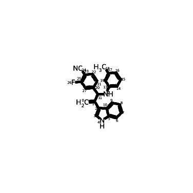 C=C(c1c[nH]c2ccccc12)C(Nc1cccc(C)c1)c1ccc(C#N)c(F)c1